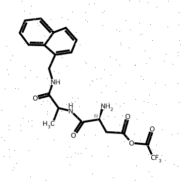 CC(NC(=O)[C@@H](N)CC(=O)OC(=O)C(F)(F)F)C(=O)NCc1cccc2ccccc12